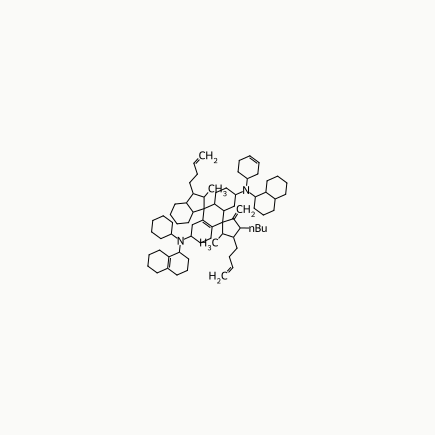 C=CCCC1C(CCCC)C(=C)C2(C3=C(CC(N(C4CCCCC4)C4CCCC5=C4CCCC5)CC3)C3(C(C)C(CCC=C)C4CCCCC43)C3CCC(N(C4CC=CCC4)C4CCCC5CCCCC54)CC32)C1C